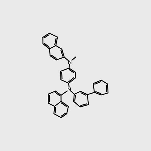 CN(c1ccc(N(c2cccc(-c3ccccc3)c2)c2cccc3ccccc23)cc1)c1ccc2ccccc2c1